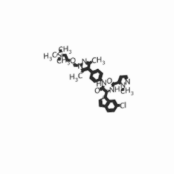 Cc1nn(COCC[Si](C)(C)C)c(C)c1-c1ccc(NC(=O)[C@@H](NC(=O)c2ccnn2C)[C@@H]2C=Cc3ccc(Cl)cc32)cc1